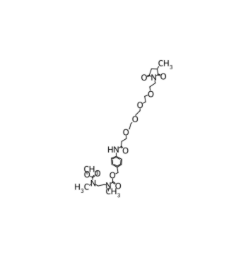 COC(=O)N(C)CCN(C)C(=O)OCc1ccc(NC(=O)CCOCCOCCOCCOCCN2C(=O)CC(C)C2=O)cc1